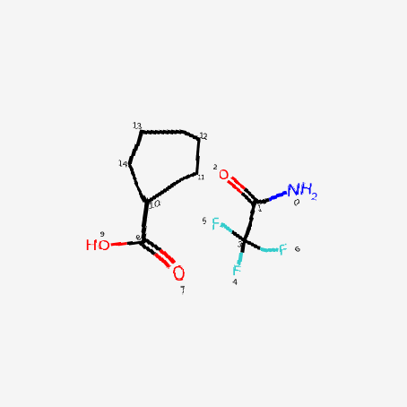 NC(=O)C(F)(F)F.O=C(O)C1CCCC1